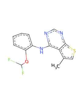 Cc1csc2ncnc(Nc3ccccc3OC(F)F)c12